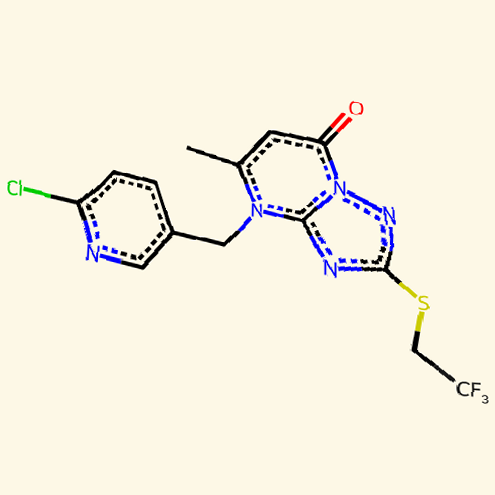 Cc1cc(=O)n2nc(SCC(F)(F)F)nc2n1Cc1ccc(Cl)nc1